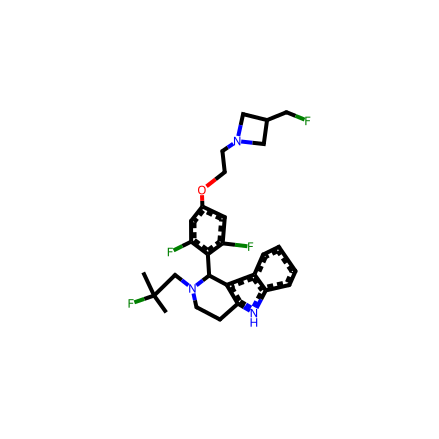 CC(C)(F)CN1CCc2[nH]c3ccccc3c2C1c1c(F)cc(OCCN2CC(CF)C2)cc1F